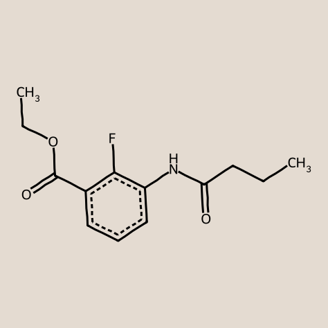 CCCC(=O)Nc1cccc(C(=O)OCC)c1F